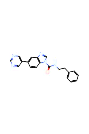 O=C(NCCc1ccccc1)n1cnc2cc(-c3cncnc3)ccc21